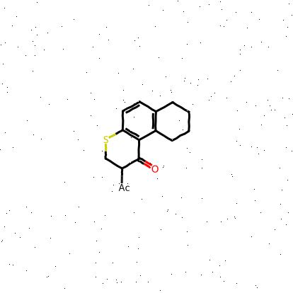 CC(=O)C1CSc2ccc3c(c2C1=O)CCCC3